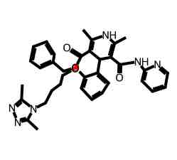 CC1=C(C(=O)Nc2ccccn2)C(c2ccccc2OCc2ccccc2)C(C(=O)OCCCCn2c(C)nnc2C)=C(C)N1